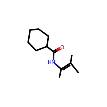 CC(C)=C(C)NC(=O)C1CCCCC1